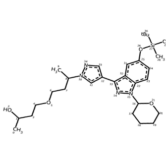 CC(O)CCOCCC(C)n1cc(-c2nn(C3CCCCO3)c3ccc(O[Si](C)(C)C(C)(C)C)cc23)cn1